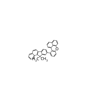 CC1(C)c2cc(-c3cccc4c3-c3cccc5cccc(c35)O4)ccc2-c2ccc3ccccc3c21